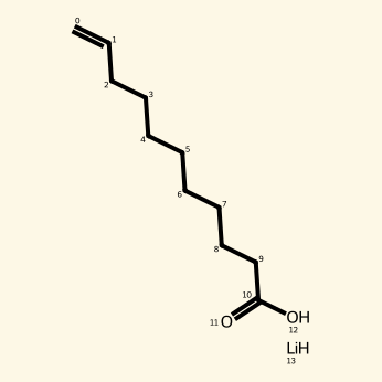 C=CCCCCCCCCC(=O)O.[LiH]